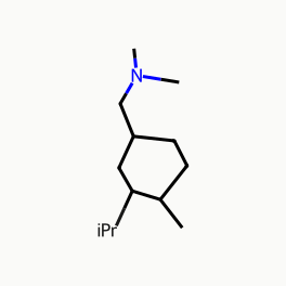 CC(C)C1CC(CN(C)C)CCC1C